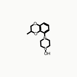 CC1COc2cccc(N3CCN(O)CC3)c2O1